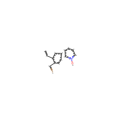 C=Cc1ccccc1C=S.[O-][n+]1ccccc1